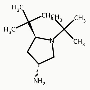 CC(C)(C)[C@@H]1C[C@@H](N)CN1C(C)(C)C